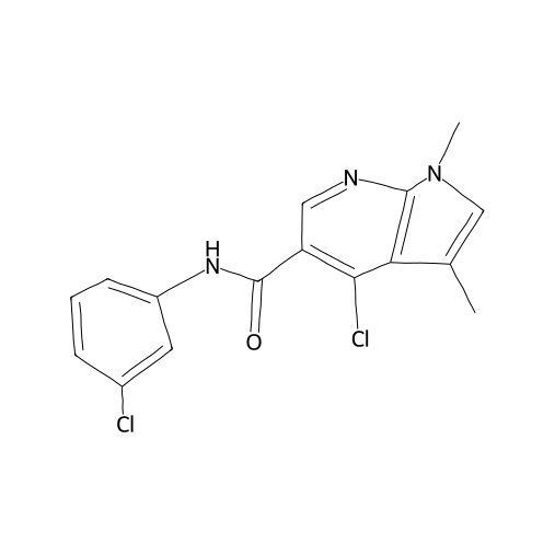 Cc1cn(C)c2ncc(C(=O)Nc3cccc(Cl)c3)c(Cl)c12